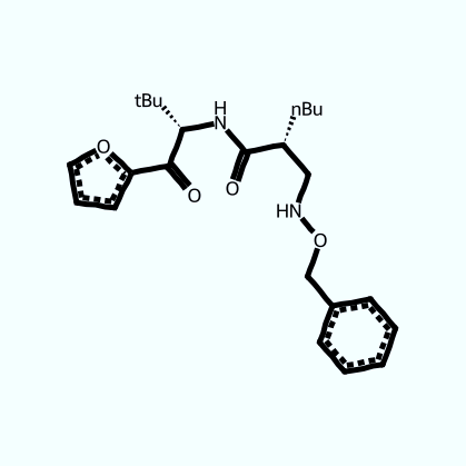 CCCC[C@H](CNOCc1ccccc1)C(=O)N[C@H](C(=O)c1ccco1)C(C)(C)C